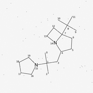 CC(C)(CC1CCC2(C(C)(C)C)CCN12)N1CCCC1